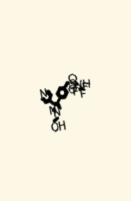 O=S(=O)(Cc1ccc(-c2cn(CCO)nc2-c2ccncc2)cc1)NC(F)(F)F